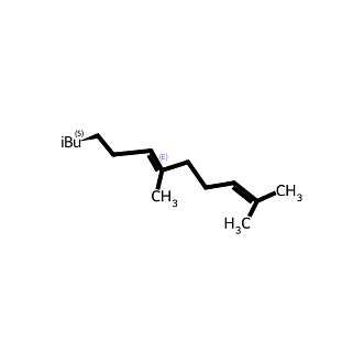 [CH2]C[C@H](C)CC/C=C(\C)CCC=C(C)C